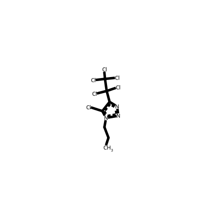 CCCn1nnc(C(Cl)(Cl)C(Cl)(Cl)Cl)c1Cl